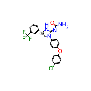 NC(=O)N=C1N[C@@H](c2cccc(C(F)(F)F)c2)CN1c1ccc(Oc2ccc(Cl)cc2)cc1